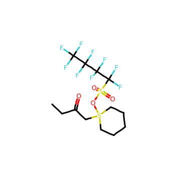 CCC(=O)CS1(OS(=O)(=O)C(F)(F)C(F)(F)C(F)(F)C(F)(F)F)CCCCC1